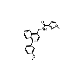 COc1cccc(-c2ccc(CNC(=O)c3ccn(C)n3)c3cnccc23)c1